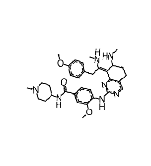 CN/C(Cc1ccc(OC)cc1)=C1/c2nc(Nc3ccc(C(=O)NC4CCN(C)CC4)cc3OC)ncc2CCC1NC